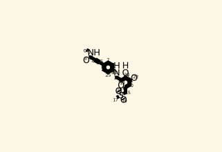 CNC(=O)C#Cc1ccc(NCc2oc(CS(C)(=O)=O)cc(=O)c2O)cc1